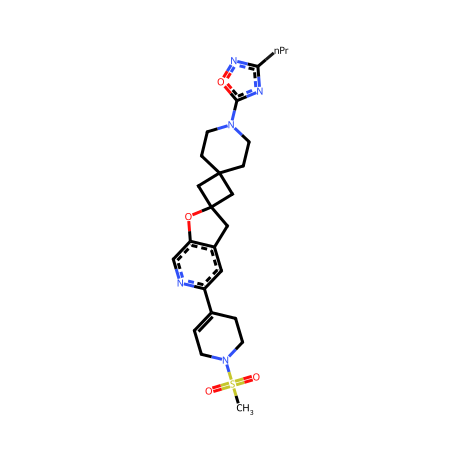 CCCc1noc(N2CCC3(CC2)CC2(Cc4cc(C5=CCN(S(C)(=O)=O)CC5)ncc4O2)C3)n1